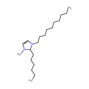 CCCCCCCCCCN1C=CN(C)C1CCCCCC